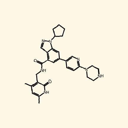 Cc1cc(C)c(CNC(=O)c2cc(-c3ccc(N4CCNCC4)nc3)cc3c2cnn3C2CCCC2)c(=O)[nH]1